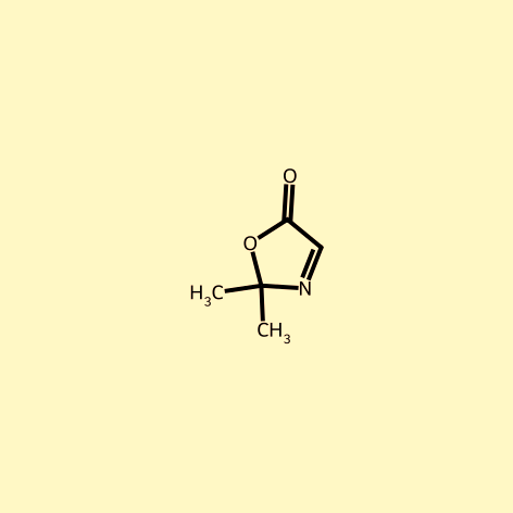 CC1(C)N=CC(=O)O1